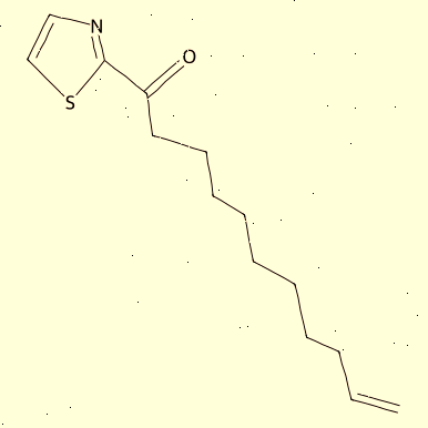 C=CCCCCCCCCC(=O)c1nccs1